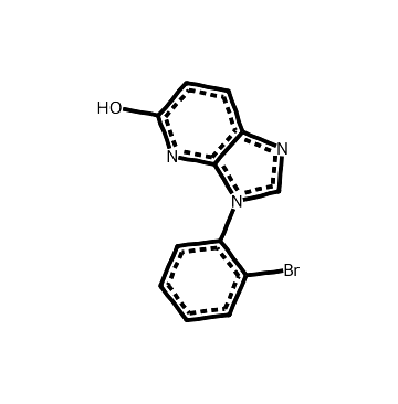 Oc1ccc2ncn(-c3ccccc3Br)c2n1